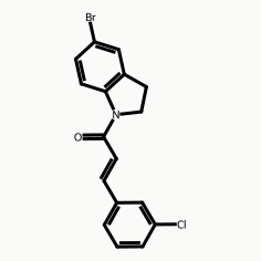 O=C(/C=C/c1cccc(Cl)c1)N1CCc2cc(Br)ccc21